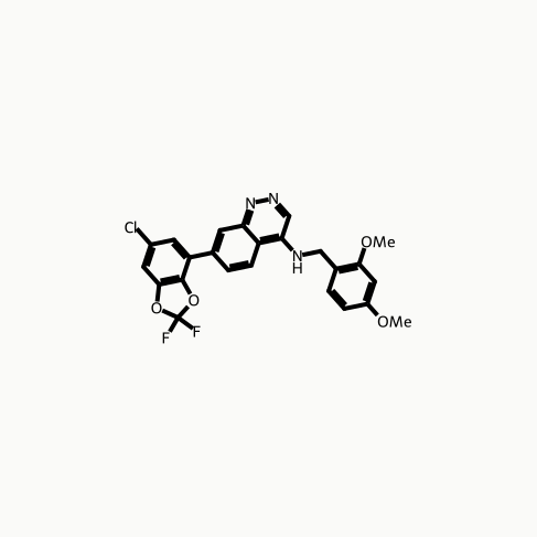 COc1ccc(CNc2cnnc3cc(-c4cc(Cl)cc5c4OC(F)(F)O5)ccc23)c(OC)c1